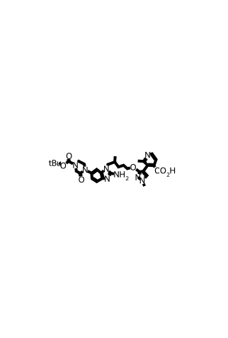 Cc1nccc(C(=O)O)c1-c1cn(C)nc1OCCCC(C)Cn1c(N)nc2ccc(N3CCN(C(=O)OC(C)(C)C)CC3=O)cc21